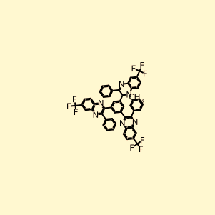 CN1c2ccc(C(F)(F)F)cc2N=C(c2ccccc2)C1c1cc(-c2nc3ccc(C(F)(F)F)cc3nc2-c2ccccc2)cc(-c2nc3ccc(C(F)(F)F)cc3nc2-c2ccccc2)c1